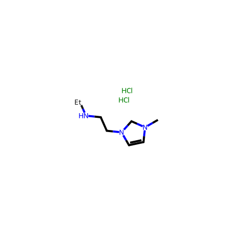 CCNCCN1C=CN(C)C1.Cl.Cl